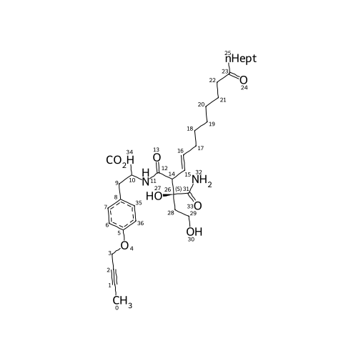 CC#CCOc1ccc(CC(NC(=O)C(C=CCCCCCCC(=O)CCCCCCC)[C@@](O)(CCO)C(N)=O)C(=O)O)cc1